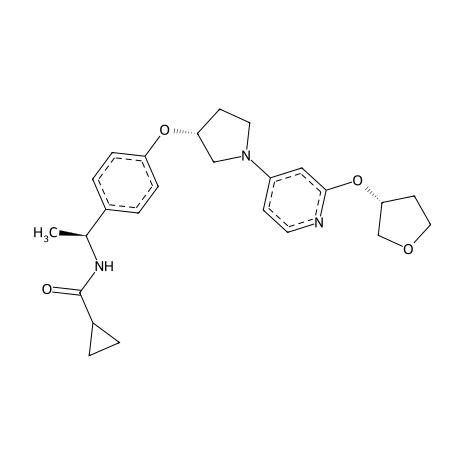 C[C@H](NC(=O)C1CC1)c1ccc(O[C@@H]2CCN(c3ccnc(O[C@@H]4CCOC4)c3)C2)cc1